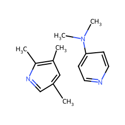 CN(C)c1ccncc1.Cc1cnc(C)c(C)c1